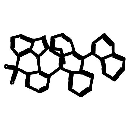 CCc1nc2cccc3c2n1-c1c(-c2c4ccccc4c(-c4cccc5ccccc45)c4ccccc24)cccc1S3(=O)=O